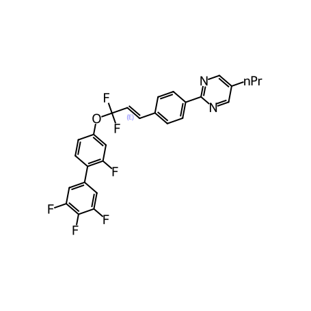 CCCc1cnc(-c2ccc(/C=C/C(F)(F)Oc3ccc(-c4cc(F)c(F)c(F)c4)c(F)c3)cc2)nc1